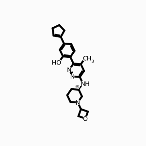 Cc1cc(N[C@@H]2CCCN(C3COC3)C2)nnc1-c1ccc(C2=CCCC2)cc1O